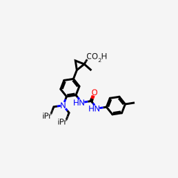 Cc1ccc(NC(=O)Nc2cc(C3CC3(C)C(=O)O)ccc2N(CC(C)C)CC(C)C)cc1